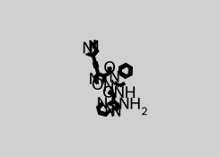 CC(NC(=O)c1c(N)nn2cccnc12)c1nc2onc(C#Cc3cnn(C)c3)c2c(=O)n1-c1ccccc1